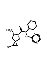 CC[C@@H]1C[C@]12C[C@@H](C(=O)O)N(C(=O)[C@@H](Nc1cnccn1)C1CCCCC1)C2